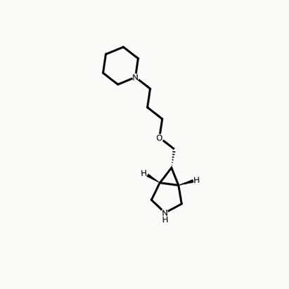 C1CCN(CCCOC[C@@H]2[C@@H]3CNC[C@@H]32)CC1